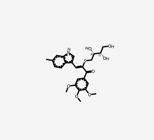 COc1cc(C(=O)C(=Cc2c[nH]c3cc(C)ccc23)SC[C@H](O)[C@@H](O)CO)cc(OC)c1OC